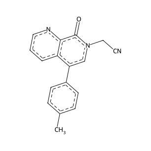 Cc1ccc(-c2cn(CC#N)c(=O)c3ncccc23)cc1